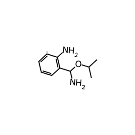 CC(C)OC(N)c1ccc[c]c1N